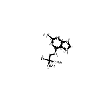 CCC(COc1nc(N)nc2nc[nH]c12)(OC)OC